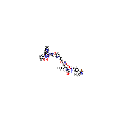 Cc1ncsc1-c1ccc(CNC(=O)[C@@H]2C[C@@H](O)CN2C(=O)C(c2cc(OCCCc3ccc(O[C@H]4C[C@H](Oc5cc(N6C7CCC6CN(c6cc(-c8ccccc8O)nnc6N)C7)ccn5)C4)cn3)no2)C(C)C)cc1